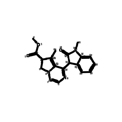 COC(=O)C1CN2N=CN=C(C3C(=O)N(C)c4ccccc43)C2=C1C